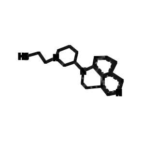 SCCN1CCCC(N2CCc3cncc4cccc2c34)C1